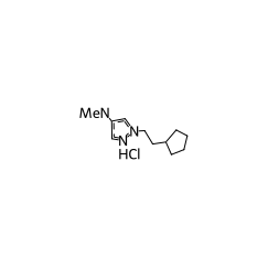 CNc1cnn(CCC2CCCC2)c1.Cl